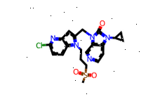 CS(=O)(=O)CCCn1c(Cn2c(=O)n(C3CC3)c3ccncc32)cc2nc(Cl)ccc21